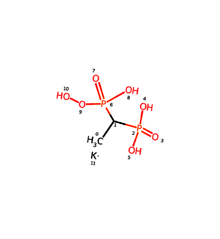 CC(P(=O)(O)O)P(=O)(O)OO.[K]